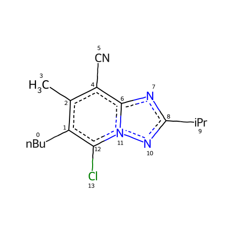 CCCCc1c(C)c(C#N)c2nc(C(C)C)nn2c1Cl